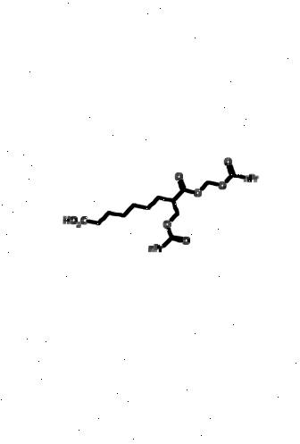 CCCC(=O)OCOC(=O)C(CCCCCCC(=O)O)COC(=O)CCC